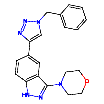 c1ccc(Cn2cc(-c3ccc4[nH]nc(N5CCOCC5)c4c3)nn2)cc1